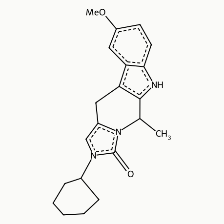 COc1ccc2[nH]c3c(c2c1)Cc1cn(C2CCCCC2)c(=O)n1C3C